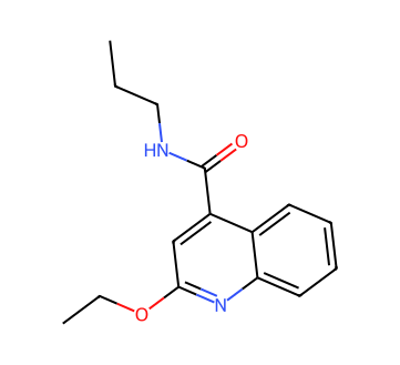 CCCNC(=O)c1cc(OCC)nc2ccccc12